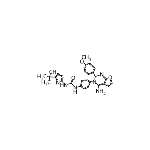 COc1ccc(C2N=c3occc3=C(N)N2c2ccc(NC(=O)Nc3nc(C(C)(C)C)cs3)cc2)cc1